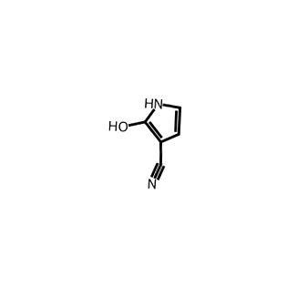 N#Cc1cc[nH]c1O